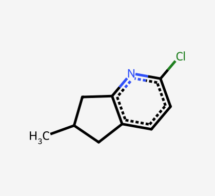 CC1Cc2ccc(Cl)nc2C1